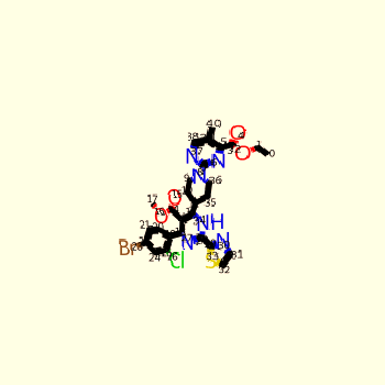 CCOC(=O)c1nc(N2CCC(C3=C(C(=O)OC)C(c4ccc(Br)cc4Cl)N=C(c4nccs4)N3)CC2)ncc1C